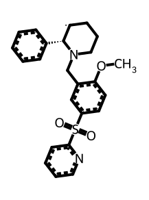 COc1ccc(S(=O)(=O)c2ccccn2)cc1CN1CCC[CH][C@H]1c1ccccc1